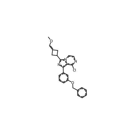 COC=C1CC(c2nc(-c3cccc(OCc4ccccc4)c3)c3c(Cl)nccn23)C1